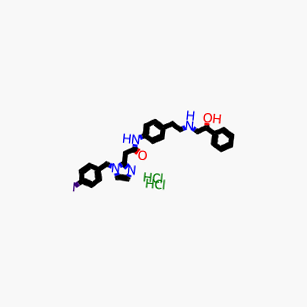 Cl.Cl.O=C(Cc1nccn1Cc1ccc(I)cc1)Nc1ccc(CCNCC(O)c2ccccc2)cc1